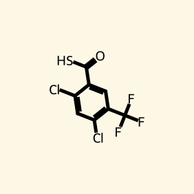 O=C(S)c1cc(C(F)(F)F)c(Cl)cc1Cl